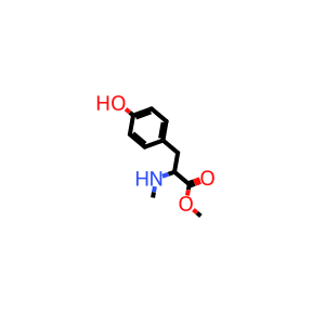 CNC(Cc1ccc(O)cc1)C(=O)OC